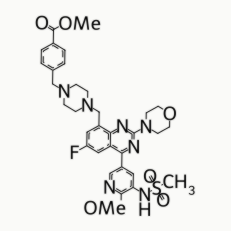 COC(=O)c1ccc(CN2CCN(Cc3cc(F)cc4c(-c5cnc(OC)c(NS(C)(=O)=O)c5)nc(N5CCOCC5)nc34)CC2)cc1